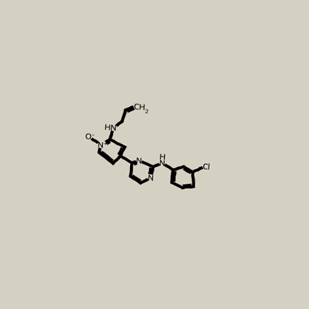 C=CCNc1cc(-c2ccnc(Nc3cccc(Cl)c3)n2)cc[n+]1[O-]